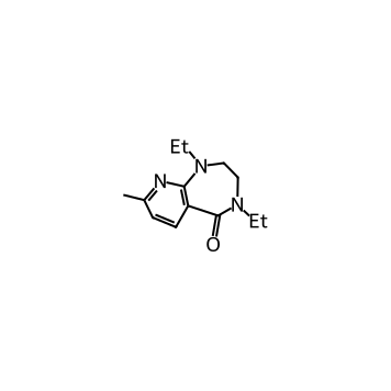 CCN1CCN(CC)c2nc(C)ccc2C1=O